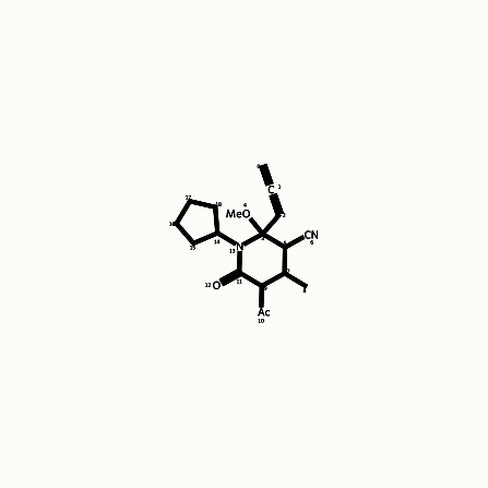 C=C=CC1(OC)C(C#N)C(C)C(C(C)=O)C(=O)N1C1CCCC1